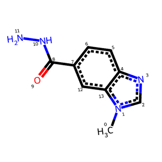 Cn1cnc2ccc(C(=O)NN)cc21